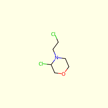 ClCCN1CCOCC1Cl